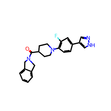 O=C(C1CCN(c2ccc(-c3cn[nH]c3)cc2F)CC1)N1Cc2ccccc2C1